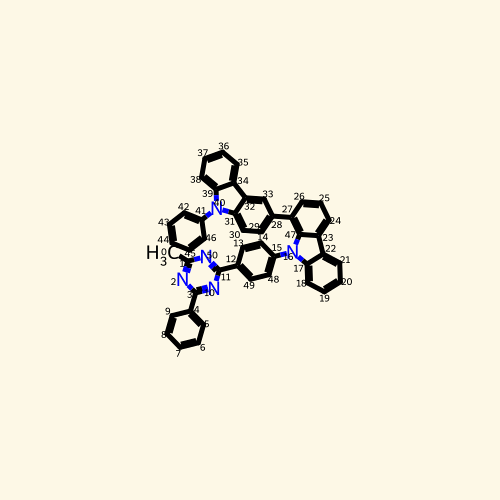 Cc1nc(-c2ccccc2)nc(-c2ccc(-n3c4ccccc4c4cccc(-c5ccc6c(c5)c5ccccc5n6-c5ccccc5)c43)cc2)n1